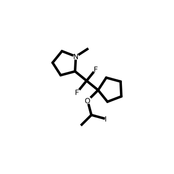 CC(I)OC1(C(F)(F)C2CCCN2C)CCCC1